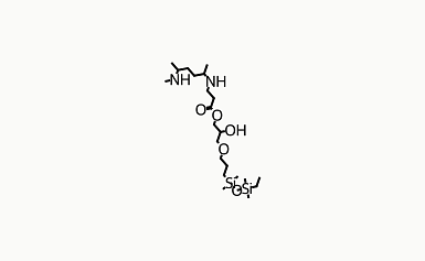 CC[Si](C)(C)O[Si](C)(C)CCCOCC(O)COC(=O)CCNC(C)CCC(C)NC